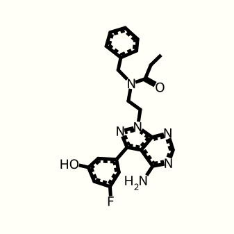 CCC(=O)N(CCn1nc(-c2cc(O)cc(F)c2)c2c(N)ncnc21)Cc1ccccc1